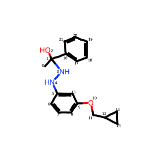 CC(O)(NNc1cccc(OCC2CC2)c1)c1ccccc1